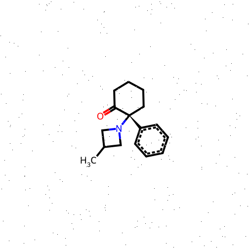 CC1CN([C@@]2(c3ccccc3)CCCCC2=O)C1